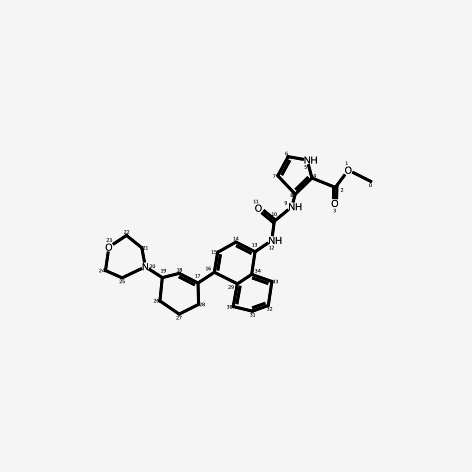 COC(=O)c1[nH]ccc1NC(=O)Nc1ccc(C2=CC(N3CCOCC3)CCC2)c2ccccc12